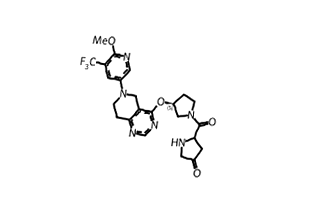 COc1ncc(N2CCc3ncnc(O[C@H]4CCN(C(=O)C5CC(=O)CN5)C4)c3C2)cc1C(F)(F)F